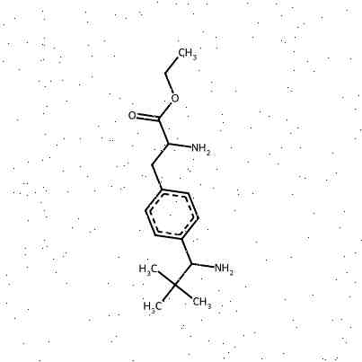 CCOC(=O)C(N)Cc1ccc(C(N)C(C)(C)C)cc1